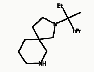 CCCC(C)(CC)N1CCC2(CCCNC2)C1